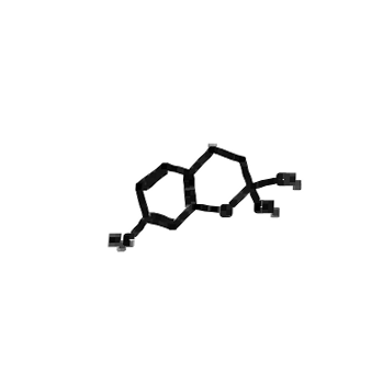 Cc1ccc2c(c1)OC(C)(C)C[C]2